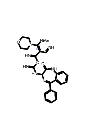 CN/C(=C(\C=N)C(=N)OC(=N)NC1N=C(c2ccccc2)c2ccccc2NC1=O)N1CCOCC1